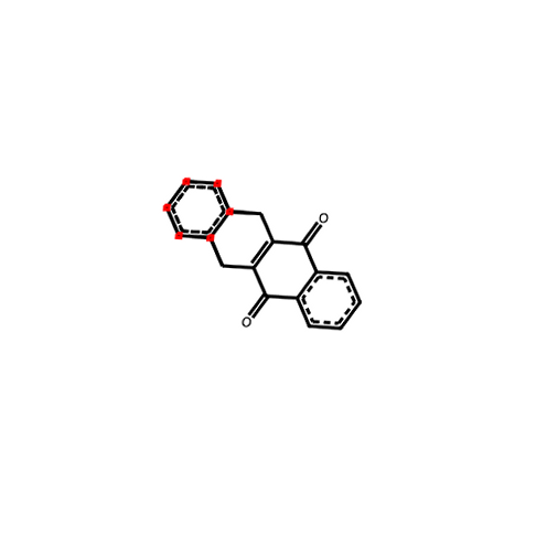 O=C1C2=C(C(=O)c3ccccc31)C1c3ccccc3C2c2ccccc21